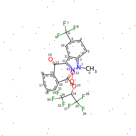 Cn1c2ccc(C(F)(F)F)cc2c(C(=O)c2ccccc2C(=O)OC(C(F)(F)F)C(F)(F)F)[n+]1[O-]